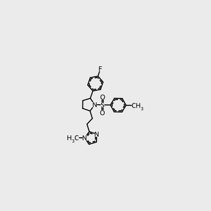 Cc1ccc(S(=O)(=O)N2C(CCc3nccn3C)CCC2c2ccc(F)cc2)cc1